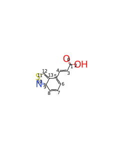 O=C(O)/C=C/c1cccc2nscc12